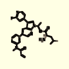 C=CC(=O)N(C)c1cccc(-c2cnc3c(c2)c(-c2ccnc(F)c2)cn3C(C)OC(=O)[C@@H](N)CC(C)C)c1